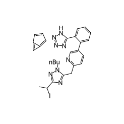 CCCCn1nc(C(C)I)nc1Cc1ccc(-c2ccccc2-c2nnn[nH]2)cn1.c1cc2cc-2c1